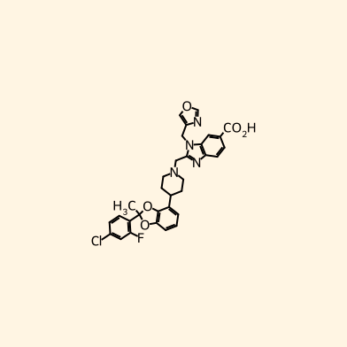 CC1(c2ccc(Cl)cc2F)Oc2cccc(C3CCN(Cc4nc5ccc(C(=O)O)cc5n4Cc4cocn4)CC3)c2O1